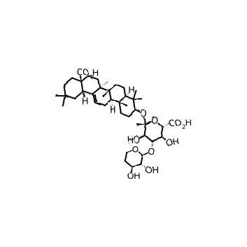 CC1(C)CC[C@]2(C(=O)O)CC[C@]3(C)C(=CC[C@@H]4[C@@]5(C)CC[C@H](O[C@]6(C)O[C@H](C(=O)O)[C@@H](O)[C@H](O[C@@H]7OCC[C@H](O)[C@H]7O)[C@H]6O)C(C)(C)[C@@H]5CC[C@]43C)[C@@H]2C1